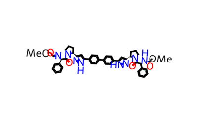 COO/C=N/[C@@H](C(=O)N1CCC[C@H]1c1cc(-c2ccc(-c3ccc(-c4cc([C@@H]5CCCN5C(=O)[C@H](NC(=O)OC)c5ccccc5)n[nH]4)cc3)cc2)[nH]n1)c1ccccc1